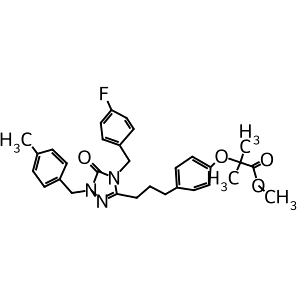 COC(=O)C(C)(C)Oc1ccc(CCCc2nn(Cc3ccc(C)cc3)c(=O)n2Cc2ccc(F)cc2)cc1